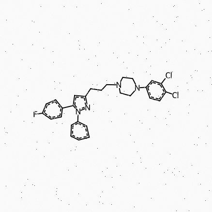 Fc1ccc(-c2cc(CCCN3CCN(c4ccc(Cl)c(Cl)c4)CC3)nn2-c2ccccc2)cc1